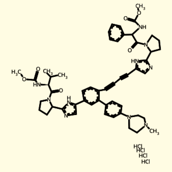 COC(=O)NC(C(=O)N1CCCC1c1ncc(C#CC#Cc2ccc(-c3cnc(C4CCCN4C(=O)[C@@H](NC(=O)OC)C(C)C)[nH]3)cc2-c2ccc(N3CCN(C)CC3)cc2)[nH]1)c1ccccc1.Cl.Cl.Cl.Cl